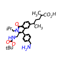 CC(C)Cn1c(CNC(=O)OC(C)(C)C)c(-c2ccc(CN)cc2)c2cc(C(C)CCC(C)C(=O)O)ccc2c1=O